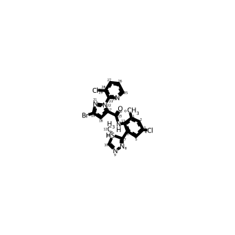 Cc1cc(Cl)cc(C2=NN=C[SH]2C)c1NC(=O)c1cc(Br)nn1-c1ncccc1Cl